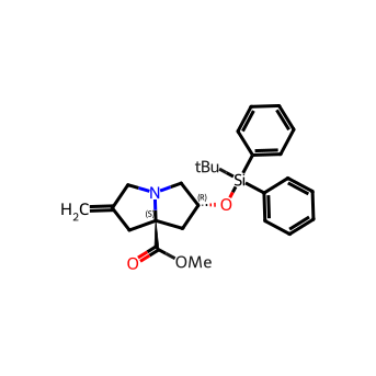 C=C1CN2C[C@H](O[Si](c3ccccc3)(c3ccccc3)C(C)(C)C)C[C@]2(C(=O)OC)C1